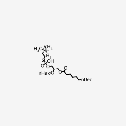 CCCCCCCCCCCCCCCC(=O)OC[C@H](COP(=O)(O)OCC[N+](C)(C)C)OCCCCCC